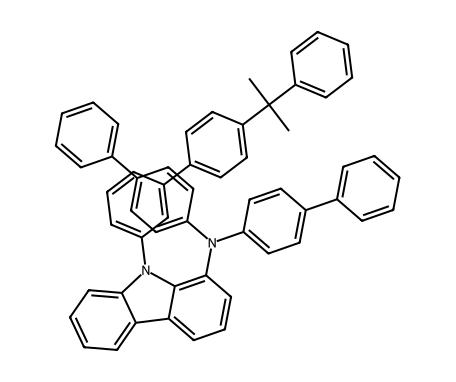 CC(C)(c1ccccc1)c1ccc(-c2cccc(-n3c4ccccc4c4cccc(N(c5ccc(-c6ccccc6)cc5)c5ccc(-c6ccccc6)cc5)c43)c2)cc1